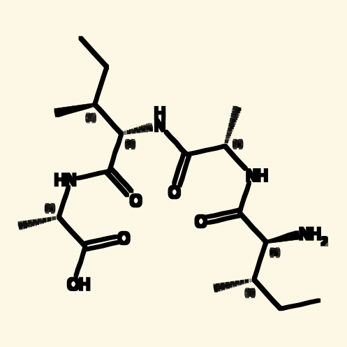 CC[C@H](C)[C@H](N)C(=O)N[C@@H](C)C(=O)N[C@H](C(=O)N[C@@H](C)C(=O)O)[C@@H](C)CC